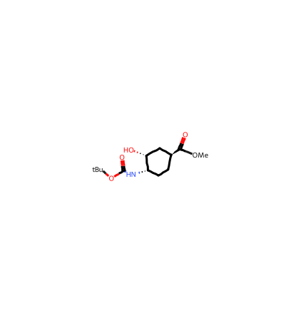 COC(=O)[C@H]1CC[C@H](NC(=O)OC(C)(C)C)[C@H](O)C1